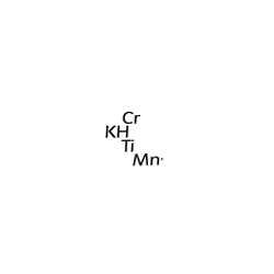 [Cr].[KH].[Mn].[Ti]